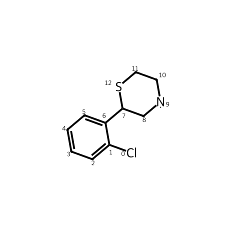 Clc1ccccc1C1C[N]CCS1